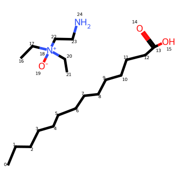 CCCCCCCCCCCCCC(=O)O.CC[N+]([O-])(CC)CCN